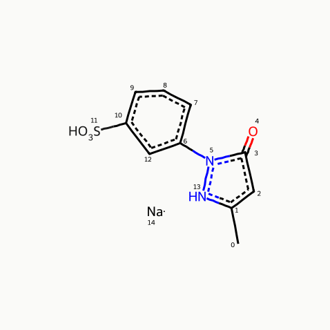 Cc1cc(=O)n(-c2cccc(S(=O)(=O)O)c2)[nH]1.[Na]